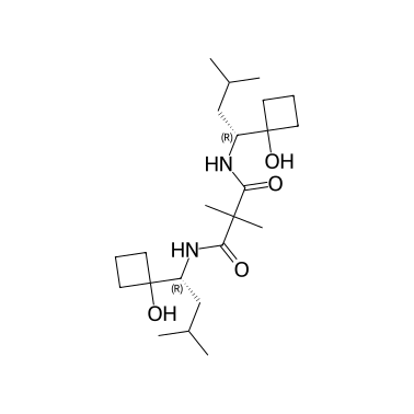 CC(C)C[C@@H](NC(=O)C(C)(C)C(=O)N[C@H](CC(C)C)C1(O)CCC1)C1(O)CCC1